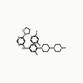 Cc1cc(Nc2cc(N3OCC[C@@H]3c3ccc(F)cc3F)ncn2)ccc1N1CCC(N2CCN(C)CC2)CC1